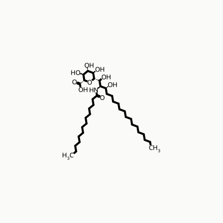 CCCCCCCCCCCCCCC[C@@H](O)[C@@H](NC(=O)CCCCCCCCCCCCC)C(O)[C@@H]1O[C@H](C(=O)O)[C@@H](O)[C@H](O)[C@H]1O